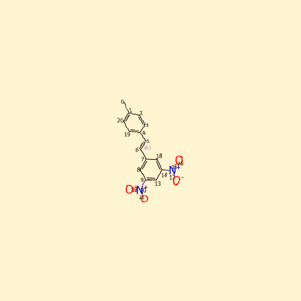 Cc1ccc(/C=C/c2cc([N+](=O)[O-])cc([N+](=O)[O-])c2)cc1